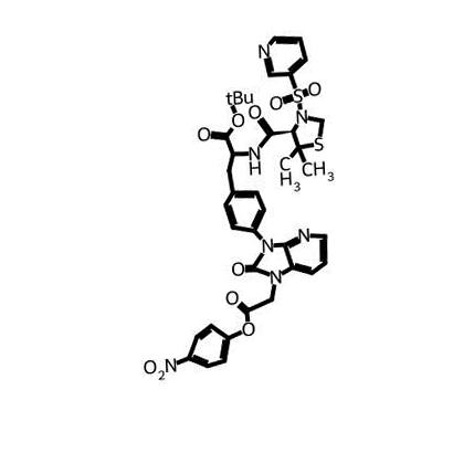 CC(C)(C)OC(=O)C(Cc1ccc(-n2c(=O)n(CC(=O)Oc3ccc([N+](=O)[O-])cc3)c3cccnc32)cc1)NC(=O)[C@H]1N(S(=O)(=O)c2cccnc2)CSC1(C)C